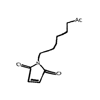 CC(=O)CCCCCN1C(=O)C=CC1=O